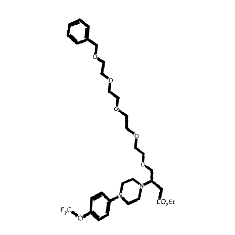 CCOC(=O)CC(COCCOCCOCCOCCOCc1ccccc1)N1CCN(c2ccc(OC(F)(F)F)cc2)CC1